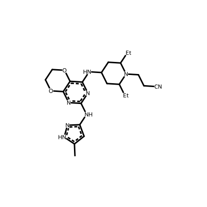 CCC1CC(Nc2nc(Nc3cc(C)[nH]n3)nc3c2OCCO3)CC(CC)N1CCC#N